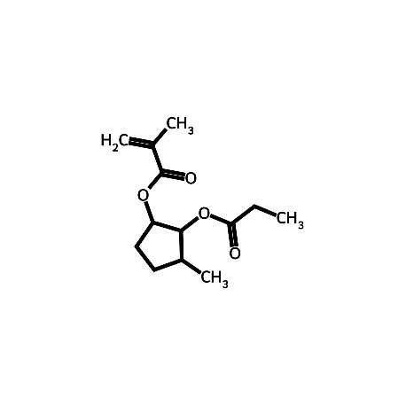 C=C(C)C(=O)OC1CCC(C)C1OC(=O)CC